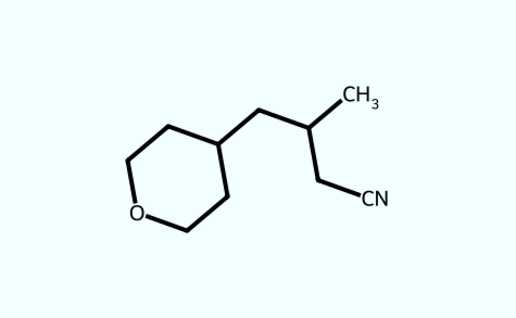 CC(CC#N)CC1CCOCC1